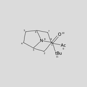 CC(=O)C1CC2CCC(C1)N2C(=O)C(C)(C)C